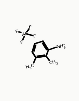 Cc1cccc([NH3+])c1C.[F][Al-]([F])([F])[F]